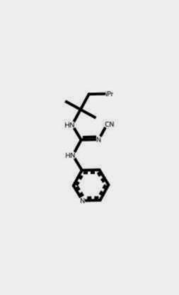 CC(C)CC(C)(C)NC(=NC#N)Nc1cccnc1